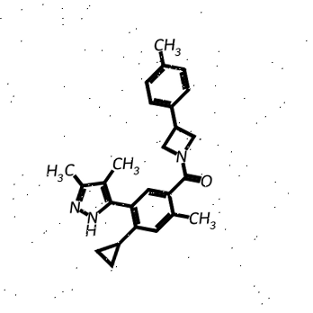 Cc1ccc(C2CN(C(=O)c3cc(-c4[nH]nc(C)c4C)c(C4CC4)cc3C)C2)cc1